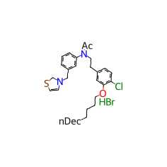 Br.CCCCCCCCCCCCCCOc1cc(CCN(C(C)=O)c2cccc(CN3C=CSC3)c2)ccc1Cl